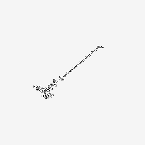 COCCOCCOCCOCCOCCOCCOCCOCCOCCOCCOCCOCCC(=O)NCCCC[C@H](N)C(=O)NCCC(=O)Nc1cc(COC(=O)N(C)[C@H](C(N)=O)C(C)C)ccc1O[C@@H]1O[C@H](C(=O)O)[C@@H](O)[C@H](O)[C@H]1O